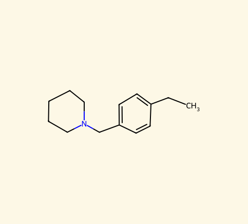 CCc1ccc(CN2CCCCC2)cc1